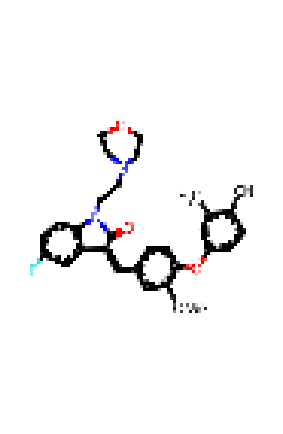 COc1cc(C=C2C(=O)N(CCN3CCOCC3)c3ccc(F)cc32)ccc1Oc1ccc(C#N)c(C(F)(F)F)c1